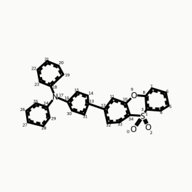 O=S1(=O)c2ccccc2Oc2cc(-c3ccc(N(c4ccccc4)c4ccccc4)cc3)ccc21